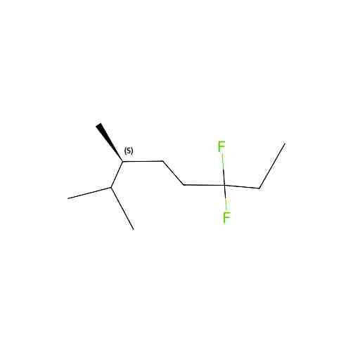 CCC(F)(F)CC[C@H](C)C(C)C